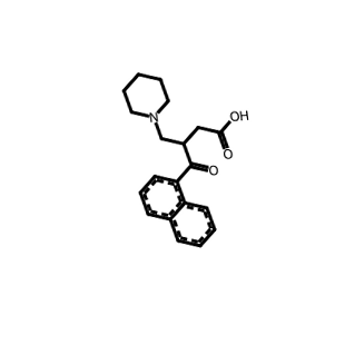 O=C(O)CC(CN1CCCCC1)C(=O)c1cccc2ccccc12